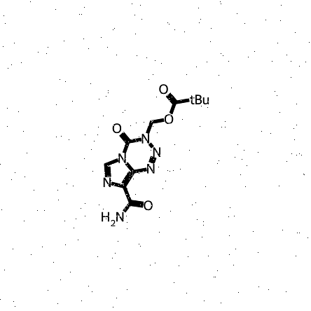 CC(C)(C)C(=O)OCn1nnc2c(C(N)=O)ncn2c1=O